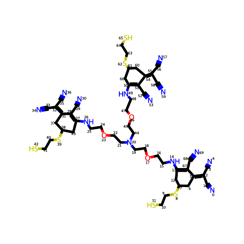 N#CC(C#N)=C1CC(SCCS)CC(NCCOCCN(CCOCCNC2=C(C#N)C(=C(C#N)C#N)CC(SCCS)C2)CCOCCNC2=C(C#N)C(=C(C#N)C#N)CC(SCCS)C2)=C1C#N